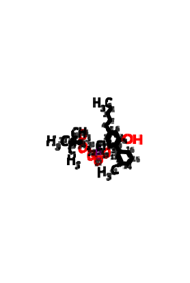 CCCCCc1cc(O)c(C2C=C(C)CCC2)c(OP(C)(=O)OCOC(=O)C(C)(C)C)c1